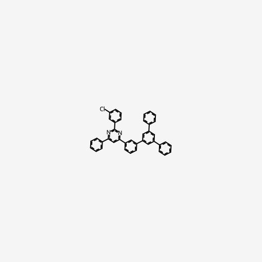 Clc1cccc(-c2nc(-c3ccccc3)cc(-c3cccc(-c4cc(-c5ccccc5)cc(-c5ccccc5)c4)c3)n2)c1